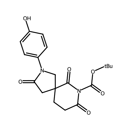 CC(C)(C)OC(=O)N1C(=O)CCC2(CC(=O)N(c3ccc(O)cc3)C2)C1=O